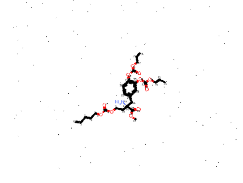 CCCCCOC(=O)OCC[C@@](N)(Cc1ccc(OC(=O)OCCC)c(OC(=O)OCCC)c1)C(=O)OC